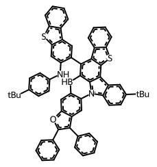 CC(C)(C)c1ccc(Nc2cc3sc4ccccc4c3cc2-c2c3c4c(c5cc(C(C)(C)C)ccc5n4-c4cc5c(-c6ccccc6)c(-c6ccccc6)oc5cc4B3)c3sc4ccccc4c23)cc1